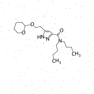 CCCCN(CCCC)C(=O)c1cc(CCOC2CCCCO2)[nH]n1